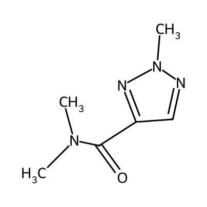 CN(C)C(=O)c1cnn(C)n1